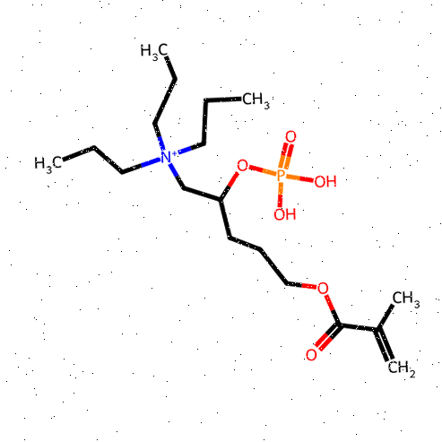 C=C(C)C(=O)OCCCC(C[N+](CCC)(CCC)CCC)OP(=O)(O)O